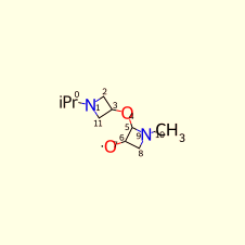 CC(C)N1CC(OC2C([O])CN2C)C1